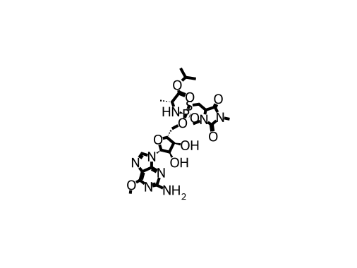 COc1nc(N)nc2c1ncn2[C@@H]1O[C@H](CO[P@](=O)(N[C@H](C)C(=O)OC(C)C)SCC2C(=O)N(C)C(=O)N2C)[C@@H](O)[C@H]1O